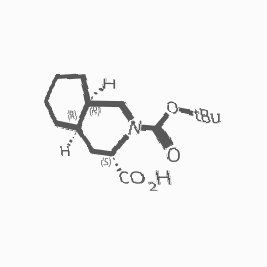 CC(C)(C)OC(=O)N1C[C@@H]2CCCC[C@@H]2C[C@H]1C(=O)O